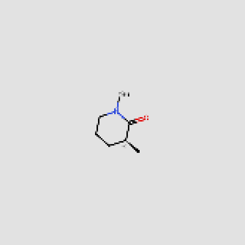 C[C@H]1CCCN(C(C)(C)C)C1=O